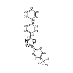 CC(C)(C)c1ccc(-c2nnc(-c3ccc(C4C=CC=CC4)cc3)o2)cc1